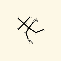 CCC(O)(CN)C(C)(C)C